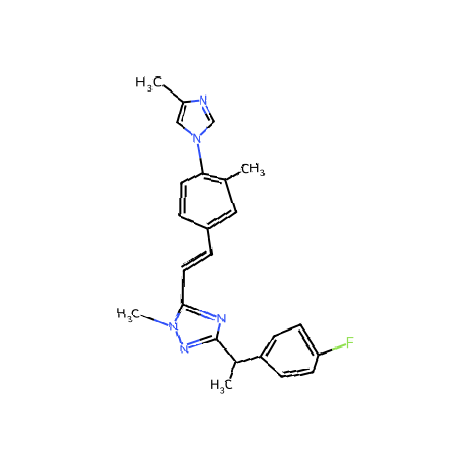 Cc1cn(-c2ccc(/C=C/c3nc(C(C)c4ccc(F)cc4)nn3C)cc2C)cn1